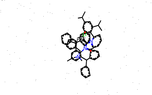 Cc1cc(C(c2ccccc2)c2ccccc2)c(-n2cc3cccc(-c4c(C(C)C)cc(C(C)C)cc4C(C)C)n3[c]2=[Pd-2]([Cl])[c]2ccccc2CN(C)C)c(C(c2ccccc2)c2ccccc2)c1